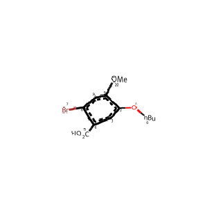 CCCCOc1cc(C(=O)O)c(Br)cc1OC